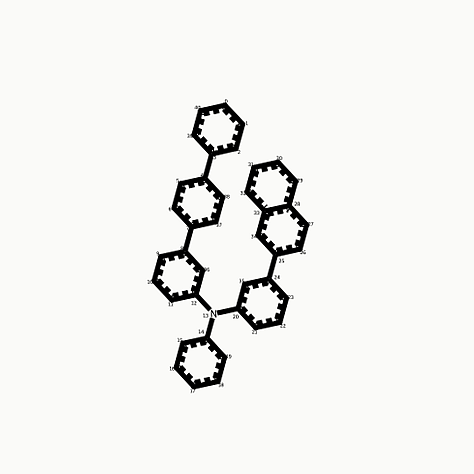 c1ccc(-c2ccc(-c3cccc(N(c4ccccc4)c4cccc(-c5ccc6ccccc6c5)c4)c3)cc2)cc1